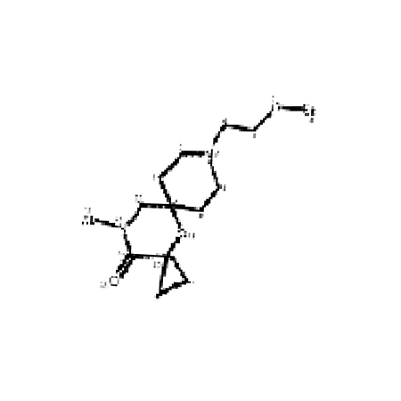 CCOCCN1CCC2(CC1)CN(CC)C(=O)C1(CC1)O2